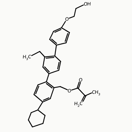 C=C(C)C(=O)OCc1cc(C2CCCCC2)ccc1-c1ccc(-c2ccc(OCCO)cc2)c(CC)c1